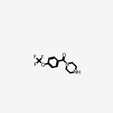 O=C(c1ccc(OC(F)(F)F)cc1)N1CCNCC1